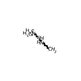 CCCCCNCCNCCN(C)CC